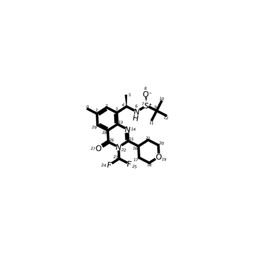 Cc1cc([C@@H](C)N[S@+]([O-])C(C)(C)C)c2nc(C3CCOCC3)n(C(F)F)c(=O)c2c1